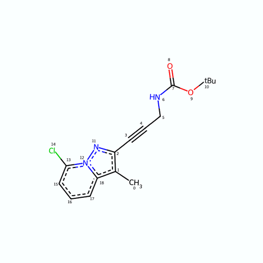 Cc1c(C#CCNC(=O)OC(C)(C)C)nn2c(Cl)cccc12